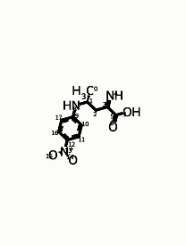 C[C@@H](CC(=N)C(=O)O)Nc1ccc([N+](=O)[O-])cc1